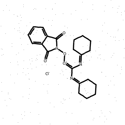 O=C1c2ccccc2C(=O)N1O[O+]=C(N=C1CCCCC1)N=C1CCCCC1.[Cl-]